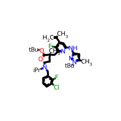 C=C(C)c1cc(Nc2cc(C)n(C(C)(C)C)n2)nc(C[C@](C)(CCN(Cc2cccc(Cl)c2F)C(C)C)C(=O)OC(C)(C)C)c1F